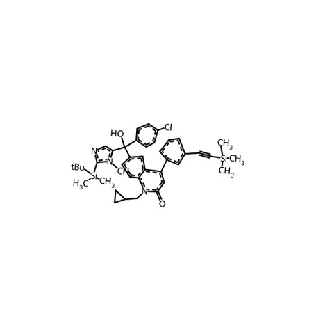 Cn1c(C(O)(c2ccc(Cl)cc2)c2ccc3c(c2)c(-c2cccc(C#C[Si](C)(C)C)c2)cc(=O)n3CC2CC2)cnc1[Si](C)(C)C(C)(C)C